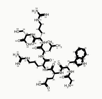 CC(C)C[C@H](NC(=O)[C@H](CCCNC(=N)N)NC(=O)[C@H](CCC(=O)O)NC(=O)[C@H](Cc1c[nH]c2ccccc12)NC(=O)CN)C(=O)N[C@@H](CCCNC(=N)N)C(=O)N[C@@H](CO)C(=O)O